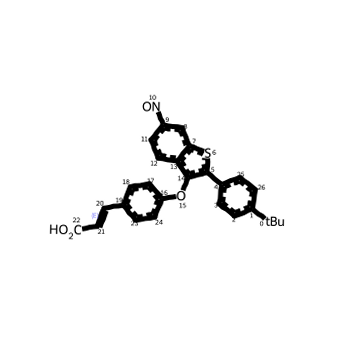 CC(C)(C)c1ccc(-c2sc3cc(N=O)ccc3c2Oc2ccc(/C=C/C(=O)O)cc2)cc1